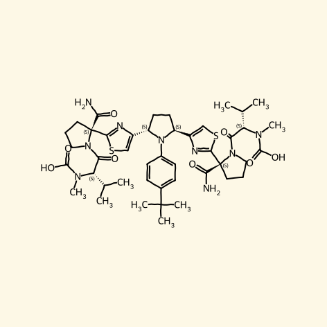 CC(C)[C@@H](C(=O)N1CCC[C@]1(C(N)=O)c1nc([C@@H]2CC[C@@H](c3csc([C@@]4(C(N)=O)CCCN4C(=O)[C@H](C(C)C)N(C)C(=O)O)n3)N2c2ccc(C(C)(C)C)cc2)cs1)N(C)C(=O)O